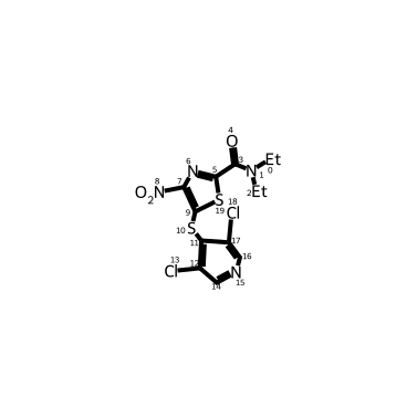 CCN(CC)C(=O)c1nc([N+](=O)[O-])c(Sc2c(Cl)cncc2Cl)s1